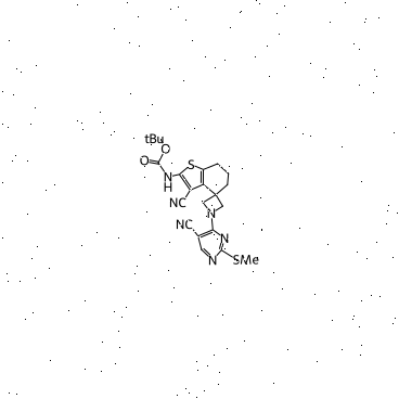 CSc1ncc(C#N)c(N2CC3(CCCc4sc(NC(=O)OC(C)(C)C)c(C#N)c43)C2)n1